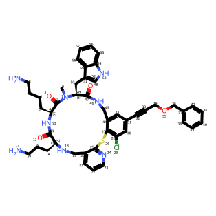 CN1C(=O)[C@H](CCCCN)NC(=O)[C@H](CCCN)NCc2cccnc2Sc2c(Cl)cc(C#CCOCc3ccccc3)cc2CNC(=O)[C@@H]1Cc1c[nH]c2ccccc12